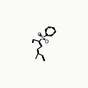 C=C/C(C)=C\C=C(/C=C)S(=O)(=O)c1ccccc1